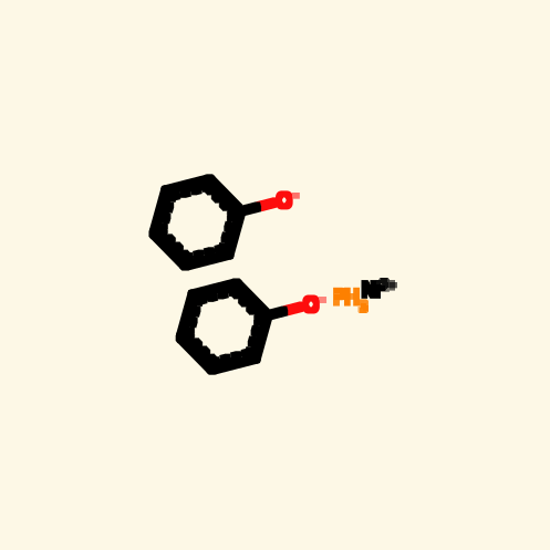 P.[Ni+2].[O-]c1ccccc1.[O-]c1ccccc1